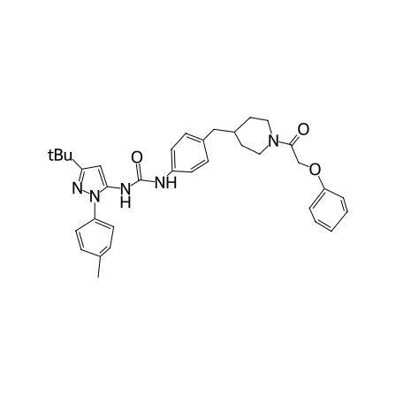 Cc1ccc(-n2nc(C(C)(C)C)cc2NC(=O)Nc2ccc(CC3CCN(C(=O)COc4ccccc4)CC3)cc2)cc1